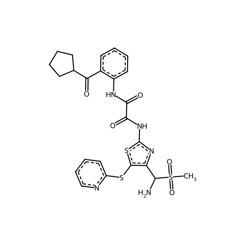 CS(=O)(=O)C(N)c1nc(NC(=O)C(=O)Nc2ccccc2C(=O)C2CCCC2)sc1Sc1ccccn1